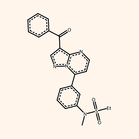 CCS(=O)(=O)N(C)c1cccc(-c2ccnc3c(C(=O)c4ccccc4)cnn23)c1